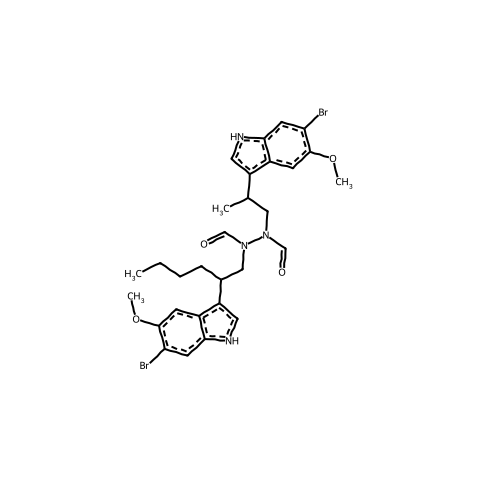 CCCCC(CN(C=O)N(C=O)CC(C)c1c[nH]c2cc(Br)c(OC)cc12)c1c[nH]c2cc(Br)c(OC)cc12